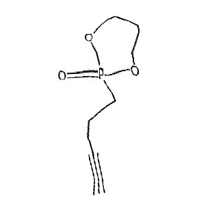 C#CCCP1(=O)OCCO1